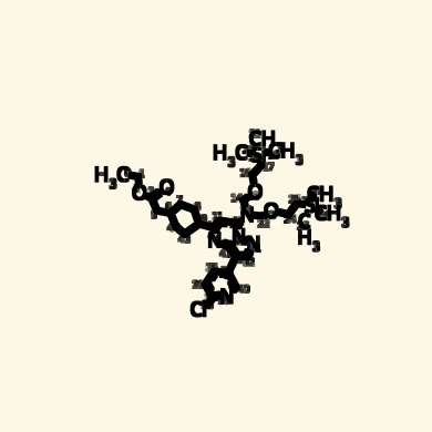 CCOC(=O)CC1CCC(c2cc(N(COCC[Si](C)(C)C)COCC[Si](C)(C)C)n3ncc(-c4ccc(Cl)nc4)c3n2)CC1